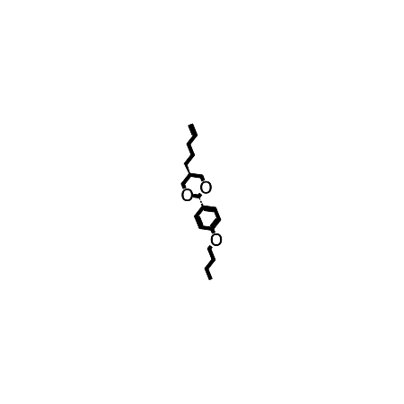 C=CCCC[C@H]1CO[C@H](c2ccc(OCCCC)cc2)OC1